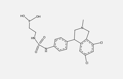 CN1Cc2c(Cl)cc(Cl)cc2C(c2ccc(NS(=O)(=O)NCCP(O)O)cc2)C1